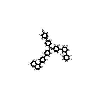 Ic1ccc(-c2ccc(N(c3ccc(-c4ccc(-c5cccc6ccccc56)cc4)cc3)c3ccc(-c4cccc5c4oc4ccccc45)cc3)cc2)cc1